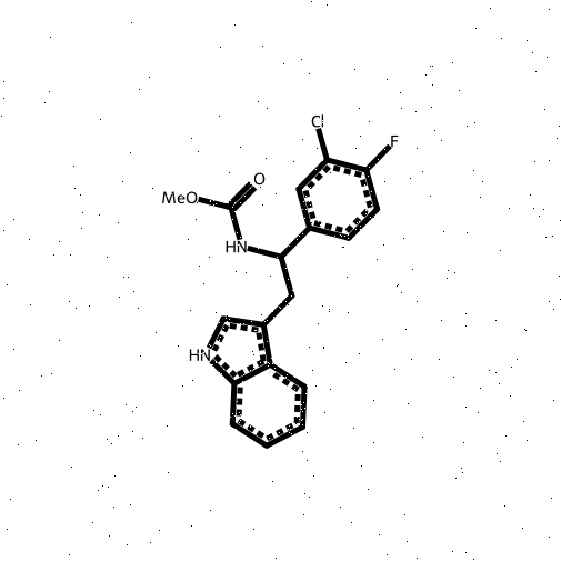 COC(=O)NC(Cc1c[nH]c2ccccc12)c1ccc(F)c(Cl)c1